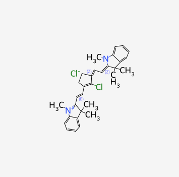 CN1/C(=C\C=C2\CCC(/C=C/C3=[N+](C)c4ccccc4C3(C)C)=C2Cl)C(C)(C)c2ccccc21.[Cl-]